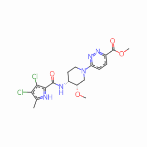 COC(=O)c1ccc(N2CC[C@@H](NC(=O)c3[nH]c(C)c(Cl)c3Cl)[C@@H](OC)C2)nn1